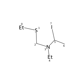 CCSCN(CC)C(C)I